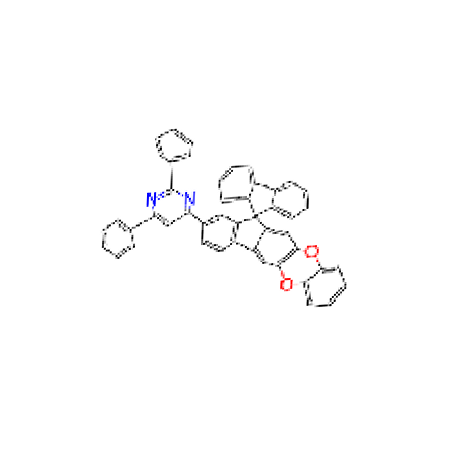 c1ccc(-c2cc(-c3ccc4c(c3)C3(c5ccccc5-c5ccccc53)c3cc5c(cc3-4)Oc3ccccc3O5)nc(-c3ccccc3)n2)cc1